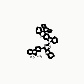 CC1(C)c2ccccc2-c2ccc(-c3nc(-n4c5ccccc5c5cc6c(cc54)Sc4ccccc4C64c5ccccc5-c5ccccc54)nc4c3sc3ccccc34)cc21